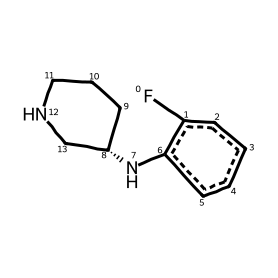 Fc1ccccc1N[C@H]1CCCNC1